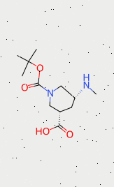 CN[C@@H]1C[C@H](C(=O)O)CN(C(=O)OC(C)(C)C)C1